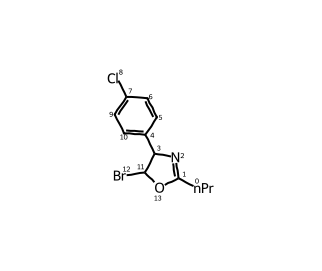 CCCC1=NC(c2ccc(Cl)cc2)C(Br)O1